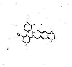 CC1CN(C2=C(Br)CNC=C2NCc2cc3nccnc3cc2F)CCN1